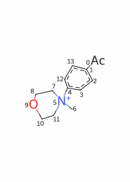 CC(=O)c1ccc([N+]2(C)CCOCC2)cc1